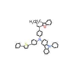 C=C/C=C(/c1ccc(N(c2ccc(-c3ccc(-c4ccccc4)s3)cc2)c2ccc3c(c2)c2ccccc2n3-c2ccccc2)cc1)c1oc2ccccc2c1C